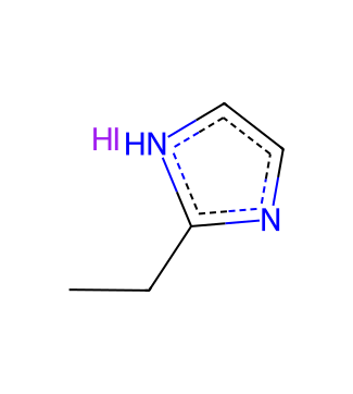 CCc1ncc[nH]1.I